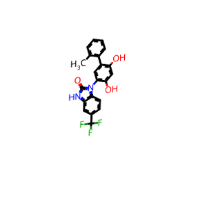 Cc1ccccc1-c1cc(-n2c(=O)[nH]c3cc(C(F)(F)F)ccc32)c(O)cc1O